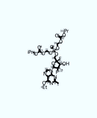 CCOC1=NC(C)=NC2C1N=CN2[C@@H]1O[C@](F)(COP(=O)(OCOC(=O)OC(C)C)OCOC(=O)OC(C)C)[C@@H](O)[C@@]1(C)F